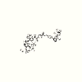 COc1cc(C(=O)NC2CCN(C(=O)CCN3CCN(c4cccc5c4CN(C4CCC(=O)NC4=O)C5=O)CC3)CC2)ccc1Nc1ncc2c(n1)N(C(C)C)CC(F)(F)C(=O)N2C